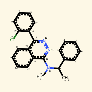 CC(c1ccccc1)N(C)c1nnc(-c2ccccc2Cl)c2ccccc12